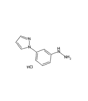 Cl.NNc1cccc(-n2cccn2)c1